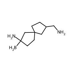 BC1(N)CCC2(CCC(CN)C2)C1